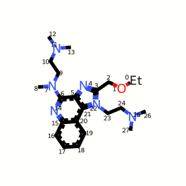 CCOCc1nc2c(N(C)CCN(C)C)nc3ccccc3c2n1CCN(C)C